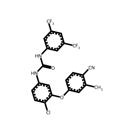 Cc1cc(Oc2cc(NC(=O)Nc3cc(C(F)(F)F)cc(C(F)(F)F)c3)ccc2Cl)ccc1C#N